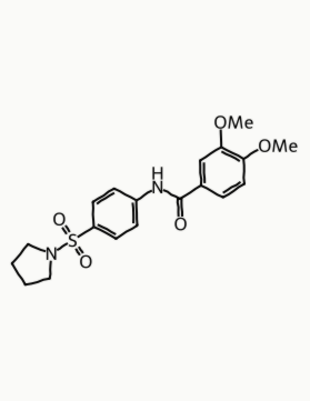 COc1ccc(C(=O)Nc2ccc(S(=O)(=O)N3CCCC3)cc2)cc1OC